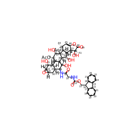 CC(=O)O[C@H]1[C@H]2[C@@H]([C@@H](O)[C@@H](NC(=O)CNC(=O)OCC3c4ccccc4-c4ccccc43)[C@H]3C[C@@H]4O[C@@H]4[C@H](O)[C@]23C)[C@@H]2[C@@H](O)[C@@H]3[C@H]([C@H](C)C=C4OC(=O)[C@@](C)(O)[C@@]43C)[C@@]2(C(C)=O)[C@H]1O